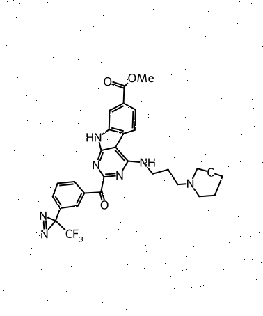 COC(=O)c1ccc2c(c1)[nH]c1nc(C(=O)c3cccc(C4(C(F)(F)F)N=N4)c3)nc(NCCCN3CCCCC3)c12